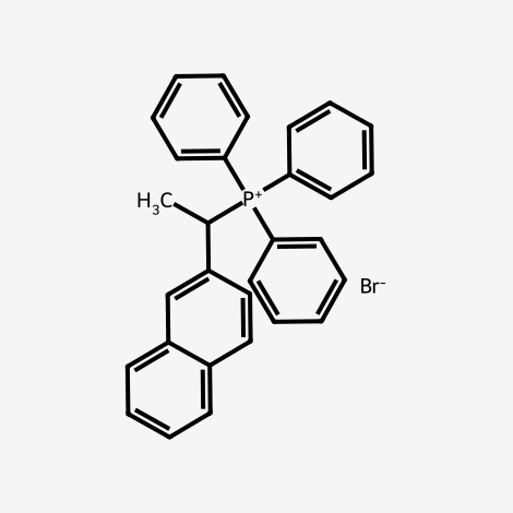 CC(c1ccc2ccccc2c1)[P+](c1ccccc1)(c1ccccc1)c1ccccc1.[Br-]